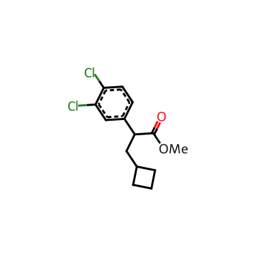 COC(=O)C(CC1CCC1)c1ccc(Cl)c(Cl)c1